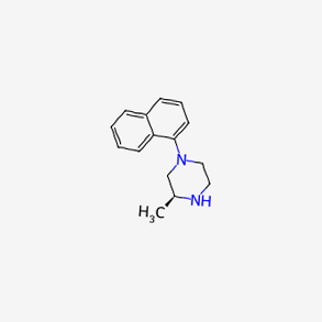 C[C@H]1CN(c2cccc3ccccc23)CCN1